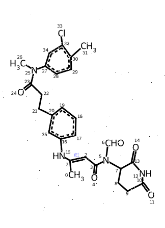 C/C(=C\C(=O)N(C=O)C1CCC(=O)NC1=O)Nc1cccc(CCC(=O)N(C)c2ccc(C)c(Cl)c2)c1